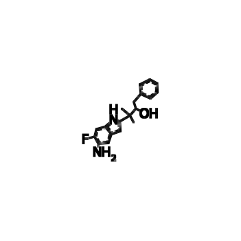 CC(C)(c1cc2cc(N)c(F)cc2[nH]1)C(O)Cc1ccccc1